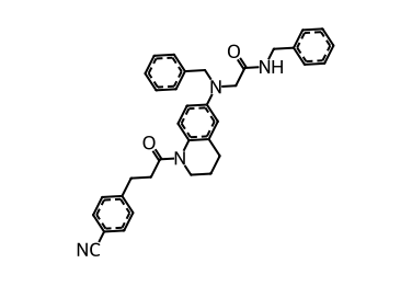 N#Cc1ccc(CCC(=O)N2CCCc3cc(N(CC(=O)NCc4ccccc4)Cc4ccccc4)ccc32)cc1